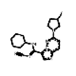 N#C/N=C(\NC1CCCCC1)c1cnc2ccc(N3CCC(F)C3)nn12